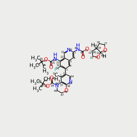 Cc1c(-c2cc3cc(NC(=O)O[C@H]4CO[C@@H]5OCC[C@@H]54)ncc3c(NC(=O)OC(C)(C)C)c2F)cnc2c1N(C(=O)OC(C)(C)C)CCO2